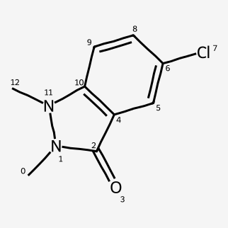 Cn1c(=O)c2cc(Cl)ccc2n1C